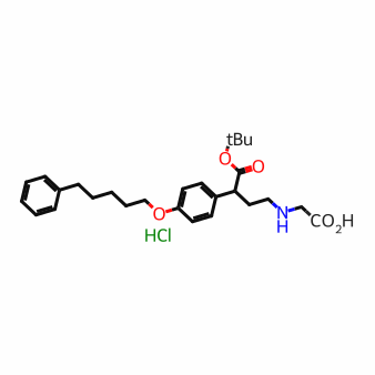 CC(C)(C)OC(=O)C(CCNCC(=O)O)c1ccc(OCCCCCc2ccccc2)cc1.Cl